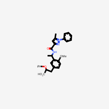 COc1ccc(CC(OC(C)C)C(=O)O)cc1C(C)NC(=O)c1cc(C)n(-c2ccccc2)n1